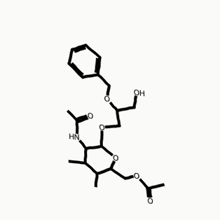 CC(=O)NC1C(OCC(CO)OCc2ccccc2)OC(COC(C)=O)C(C)C1C